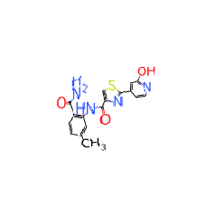 Cc1ccc(C(N)=O)c(NC(=O)c2csc(-c3ccnc(O)c3)n2)c1